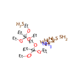 CCO[Si](CC)(OCC)OCC.CCO[Si](CC)(OCC)OCC.N.S.S.S.S.S